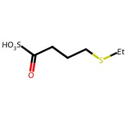 CCSCCCC(=O)S(=O)(=O)O